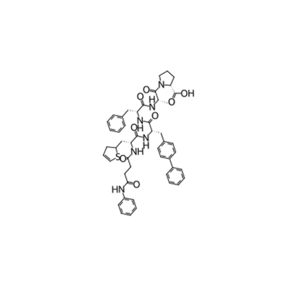 C[C@H](NC(=O)[C@@H](Cc1ccccc1)NC(=O)[C@H](Cc1ccc(-c2ccccc2)cc1)NC(=O)[C@@H](CC1CC=CS1)NC(=O)CCC(=O)Nc1ccccc1)C(=O)N1CCC[C@@H]1C(=O)O